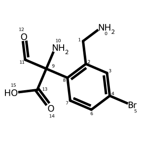 NCc1cc(Br)ccc1C(N)(C=O)C(=O)O